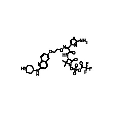 CC1(C)[C@H](NC(=O)/C(=N\OCCOc2ccc3nc(NC4CCNCC4)ccc3c2)c2csc(N)n2)C(=O)N1OS(=O)(=O)OC(=O)C(F)(F)F